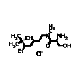 CCC(CCCCN(C)C(=O)C(N)CO)[N+](C)(C)C.[Cl-]